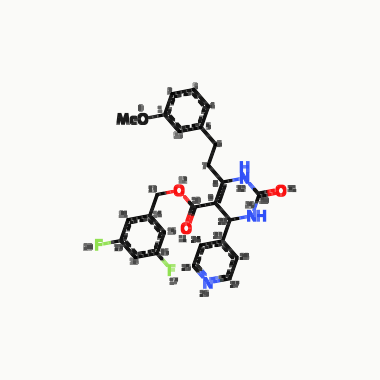 COc1cccc(CCC2=C(C(=O)OCc3cc(F)cc(F)c3)C(c3ccncc3)NC(=O)N2)c1